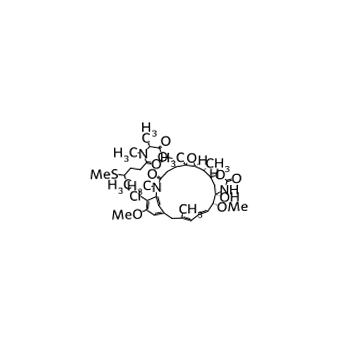 COc1cc2cc(c1Cl)N(C)C(=O)C[C@H](COC(=O)[C@H](C)N(C)C(=O)CCC(C)SC)[C@]1(C)O[C@H]1[C@H](C)[C@@H]1C[C@@](O)(NC(=O)O1)[C@H](OC)/C=C/C=C(\C)C2